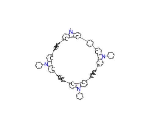 Cn1c2ccc3cc2c2cc(ccc21)-c1ccc(cc1)-c1ccc2c(c1)c1cc(ccc1n2-c1ccccc1)-c1ccc(cc1)-c1ccc2c(c1)c1cc(ccc1n2-c1ccccc1)-c1ccc(cc1)-c1ccc2c(c1)c1cc(ccc1n2-c1ccccc1)-c1ccc-3cc1